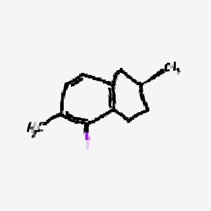 Cc1ccc2c(c1I)CC[C@H](C)C2